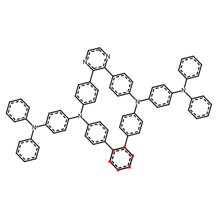 c1ccc(-c2ccc(N(c3ccc(-c4nccnc4-c4ccc(N(c5ccc(-c6ccccc6)cc5)c5ccc(N(c6ccccc6)c6ccccc6)cc5)cc4)cc3)c3ccc(N(c4ccccc4)c4ccccc4)cc3)cc2)cc1